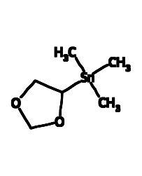 [CH3][Sn]([CH3])([CH3])[CH]1COCO1